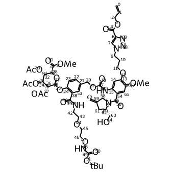 C=CCOC(=O)c1cn(CCCOc2cc(NC(=O)OCc3ccc(O[C@@H]4O[C@H](C(=O)OC)[C@@H](OC(C)=O)[C@H](OC(C)=O)[C@H]4OC(C)=O)c(C(=O)NCCOCCONC(=O)OC(C)(C)C)c3)c(C(=O)N3CC(=C)C[C@H]3CO)cc2OC)nn1